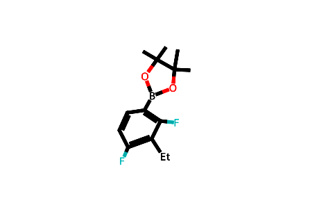 CCc1c(F)ccc(B2OC(C)(C)C(C)(C)O2)c1F